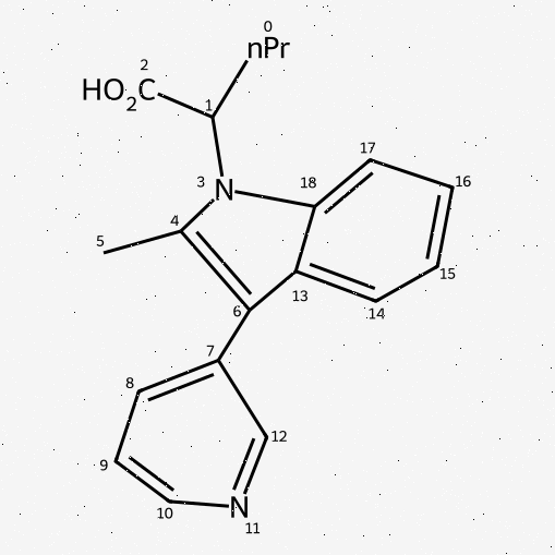 CCCC(C(=O)O)n1c(C)c(-c2cccnc2)c2ccccc21